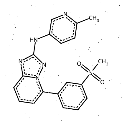 Cc1ccc(Nc2nc3cccc(-c4cccc(S(C)(=O)=O)c4)n3n2)cn1